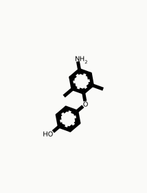 Cc1cc(N)cc(C)c1Oc1ccc(O)cc1